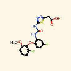 COc1cccc(F)c1Oc1ccc(F)cc1NC(=O)Nc1nnc(CC(=O)O)s1